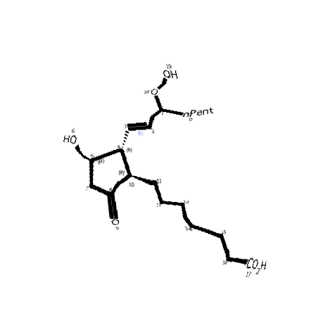 CCCCCC(/C=C/[C@H]1[C@H](O)CC(=O)[C@@H]1CCCCCCC(=O)O)OO